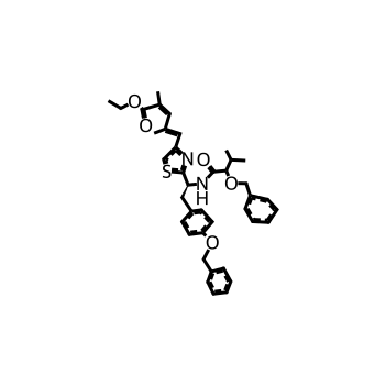 CCOC(=O)/C(C)=C\C(C)=C\c1csc([C@H](Cc2ccc(OCc3ccccc3)cc2)NC(=O)C(OCc2ccccc2)C(C)C)n1